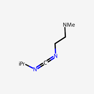 CNCCN=C=NC(C)C